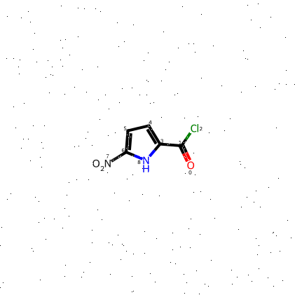 O=C(Cl)c1ccc([N+](=O)[O-])[nH]1